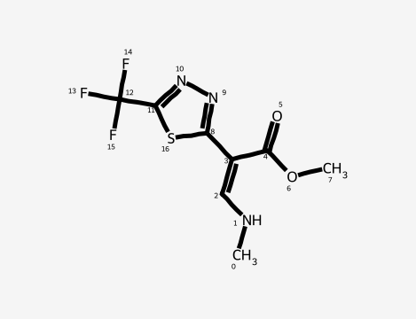 CNC=C(C(=O)OC)c1nnc(C(F)(F)F)s1